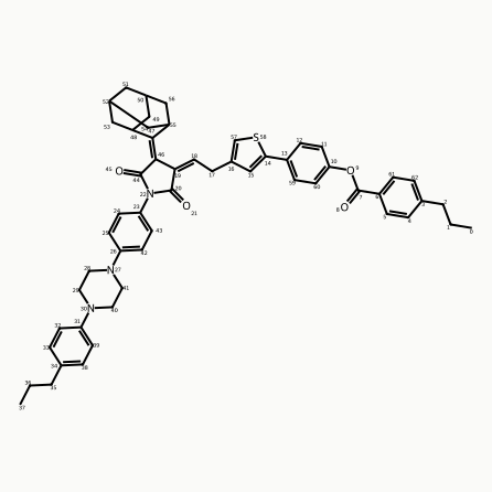 CCCc1ccc(C(=O)Oc2ccc(-c3cc(CC=C4C(=O)N(c5ccc(N6CCN(c7ccc(CCC)cc7)CC6)cc5)C(=O)C4=C4C5CC6CC(C5)CC4C6)cs3)cc2)cc1